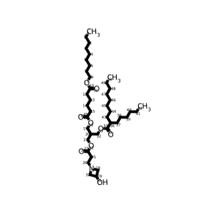 CCCCCCCCCOC(=O)CCCCC(=O)OCC(COC(=O)CCN1CC(O)C1)COC(=O)C(CCCCCC)CCCCCCCC